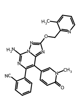 Cc1cccnc1COc1nc2c(-c3ccc(=O)n(C)c3)c(-c3ccccc3C#N)nc(N)n2n1